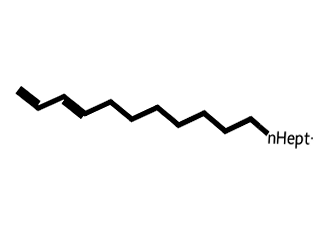 C=C/C=C/CCCCCCC[CH]CCCCCC